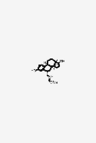 COCNC[C@H]1C[C@@H]2[C@H](CCC[C@]3(C)[C@@H](O)CC[C@@H]23)c2ccc(O)cc21